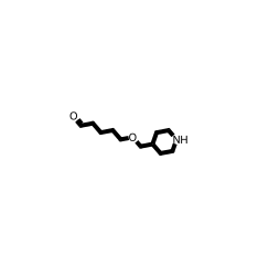 O=CCCCCOCC1CCNCC1